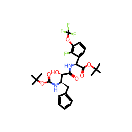 CC(C)(C)OC(=O)N[C@H](Cc1ccccc1)[C@H](O)C(=O)N[C@H](C(=O)OC(C)(C)C)c1cccc(OC(F)(F)F)c1F